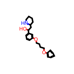 OC(CC1CCCCN1)c1cccc(OCCCCOc2ccccc2)c1